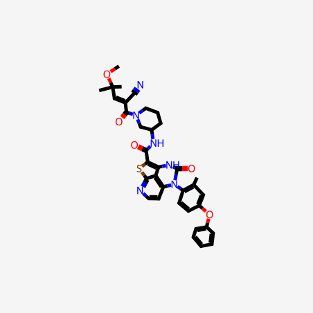 COC(C)(C)C=C(C#N)C(=O)N1CCCC(NC(=O)c2sc3nccc4c3c2NC(=O)N4c2ccc(Oc3ccccc3)cc2C)C1